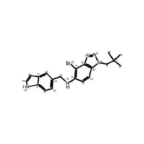 CC(C)(C)Cn1nnc2c(Br)c(NCc3ccc4[nH]ccc4c3)ccc21